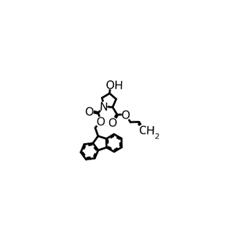 C=CCOC(=O)C1CC(O)CN1C(=O)OCC1c2ccccc2-c2ccccc21